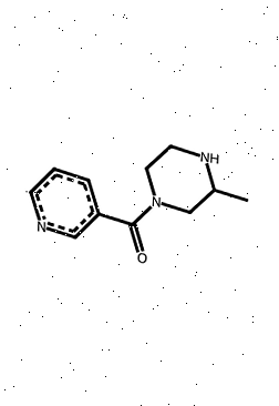 CC1CN(C(=O)c2cc[c]nc2)CCN1